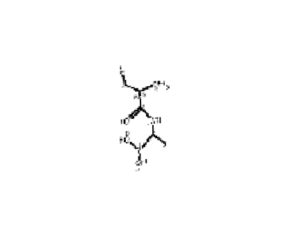 CC(NC(=O)[C@H](N)CF)P(O)O